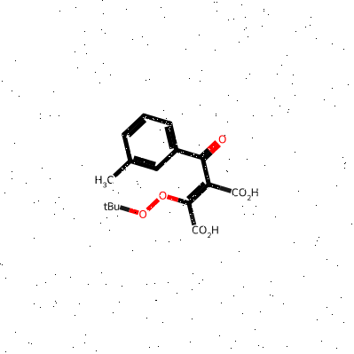 Cc1cccc(C(=O)C(C(=O)O)=C(OOC(C)(C)C)C(=O)O)c1